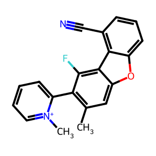 Cc1cc2oc3cccc(C#N)c3c2c(F)c1-c1cccc[n+]1C